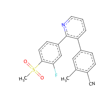 Cc1cc(-c2cccnc2-c2ccc(S(C)(=O)=O)c(F)c2)ccc1C#N